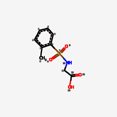 Cc1ccccc1S(=O)(=O)NCC(=O)O